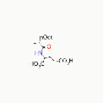 CCCCCCCCC(C)C(=O)NC(CCC(=O)O)C(=O)O